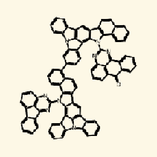 O=C1c2ccccc2-c2nc(-n3c4c5ccccc5ccc4c4cc5c6ccccc6n6c7cc(-c8cccc9c8ccc8c%10cc%11c%12ccccc%12n%12c%13ccccc%13c(c%10n(-c%10nc%13c%14c(cccc%14n%10)-c%10ccccc%10-%13)c98)c%11%12)ccc7c(c43)c56)nc3cccc1c23